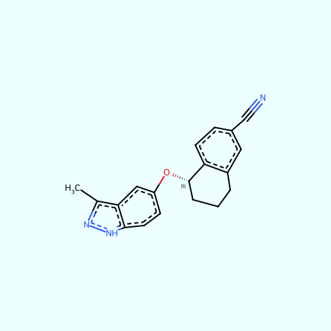 Cc1n[nH]c2ccc(O[C@H]3CCCc4cc(C#N)ccc43)cc12